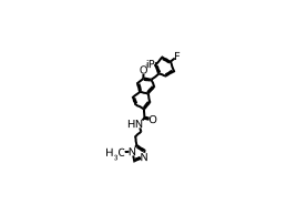 CC(C)Oc1cc2ccc(C(=O)NCCc3cncn3C)cc2cc1-c1ccc(F)cc1